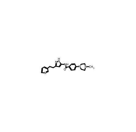 CN1CCN(c2ccc(C(=O)Nc3cc(CCc4cccnc4)n[nH]3)cc2)CC1